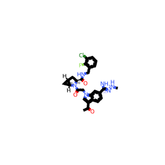 CN/N=C(\N)c1ccc2c(C(C)=O)cn(CC(=O)N3[C@@H]4C[C@@H]4C[C@H]3C(=O)NCc3cccc(Cl)c3F)c2c1